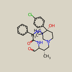 C[C@@H](CN1CC[C@](O)(c2ccc(Cl)cc2)C(C)(C)C1)C(C=O)NC(=O)[C@H](N)c1ccccc1